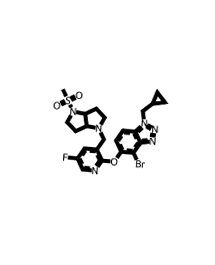 CS(=O)(=O)N1CCC2C1CCN2Cc1cc(F)cnc1Oc1ccc2c(nnn2CC2CC2)c1Br